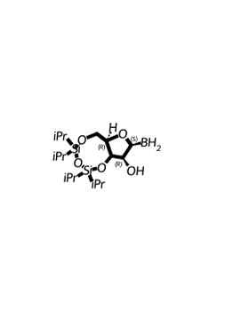 B[C@@H]1O[C@@H]2CO[Si](C(C)C)(C(C)C)O[Si](C(C)C)(C(C)C)OC2[C@@H]1O